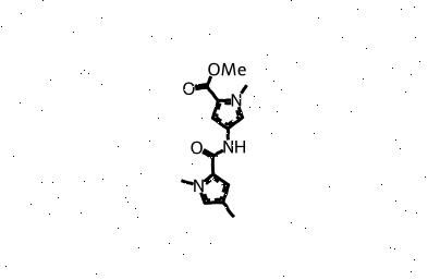 COC(=O)c1cc(NC(=O)c2cc(C)cn2C)cn1C